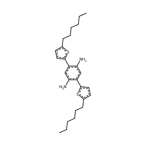 CCCCCCc1ccc(-c2cc(N)c(-c3ccc(CCCCCC)s3)cc2N)s1